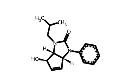 CC(C)CN1C(=O)N(c2ccccc2)[C@@H]2C=C[C@@H](O)[C@@H]21